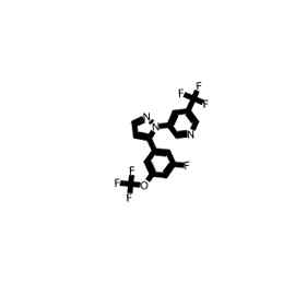 Fc1cc(OC(F)(F)F)cc(-c2c[c]nn2-c2cncc(C(F)(F)F)c2)c1